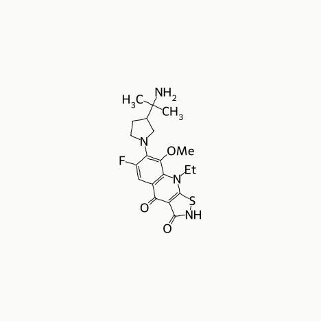 CCn1c2s[nH]c(=O)c2c(=O)c2cc(F)c(N3CCC(C(C)(C)N)C3)c(OC)c21